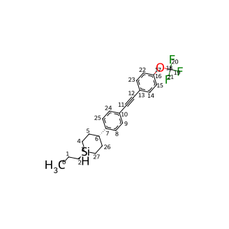 CCC[Si@H]1CC[C@H](c2ccc(C#Cc3ccc(OC(F)(F)F)cc3)cc2)CC1